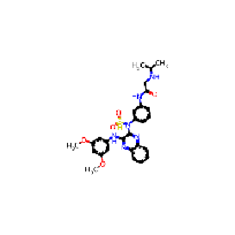 COc1cc(Nc2nc3ccccc3nc2N(c2cccc(NC(=O)CNC(C)C)c2)[SH](=O)=O)cc(OC)c1